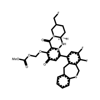 COC(=O)OCOc1c2n(c(-c3cc(F)c(F)c4c3Cc3ccccc3SC4)cc1=O)N[C@@H]1CCC(CF)CN1C2=O